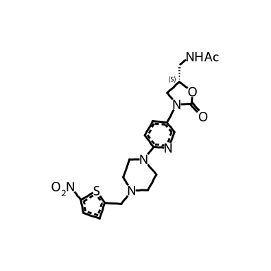 CC(=O)NC[C@H]1CN(c2ccc(N3CCN(Cc4ccc([N+](=O)[O-])s4)CC3)nc2)C(=O)O1